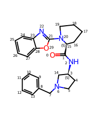 O=C(N[C@H]1CCN(Cc2ccccc2)C1)[C@@H]1CCCCN1c1nc2ccccc2o1